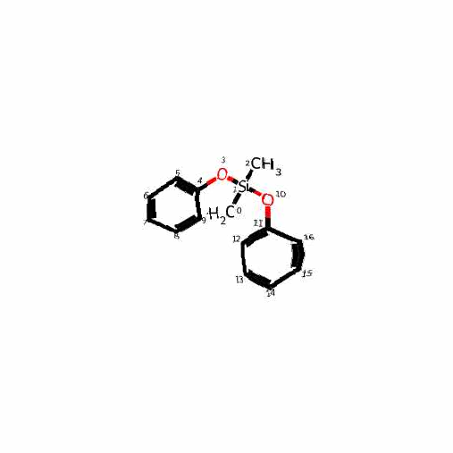 [CH2][Si](C)(Oc1ccccc1)Oc1ccccc1